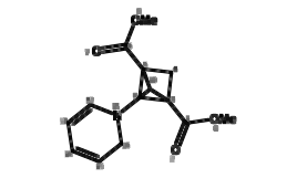 COC(=O)C12CC(C(=O)OC)(C1)C2N1C=CC=CC1